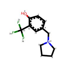 Oc1ccc(CN2CCCC2)cc1C(F)(F)F